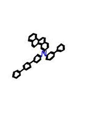 c1ccc(-c2ccc(-c3ccc(N(c4cccc(-c5ccccc5)c4)c4ccc5ccc6c7ccccc7ccc6c5c4)cc3)cc2)cc1